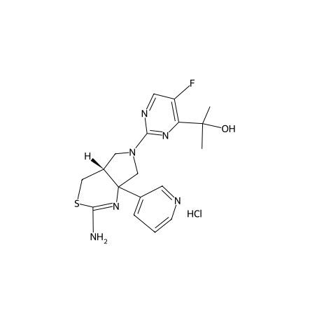 CC(C)(O)c1nc(N2C[C@H]3CSC(N)=NC3(c3cccnc3)C2)ncc1F.Cl